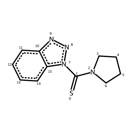 S=C(N1CCCC1)n1nnc2ccccc21